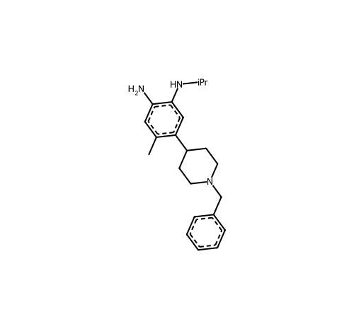 Cc1cc(N)c(NC(C)C)cc1C1CCN(Cc2ccccc2)CC1